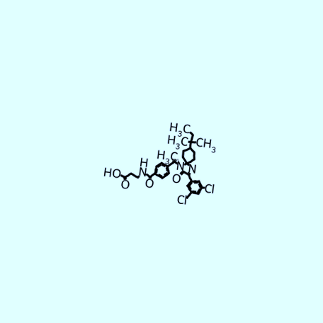 CCC(C)(C)C1CCC2(CC1)N=C(c1cc(Cl)cc(Cl)c1)C(=O)N2[C@H](C)c1ccc(C(=O)NCCC(=O)O)cc1